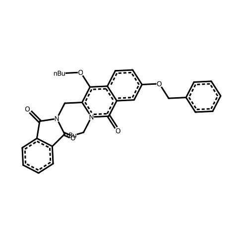 CCCCOc1c(CN2C(=O)c3ccccc3C2=O)n(CC(C)(C)C)c(=O)c2cc(OCc3ccccc3)ccc12